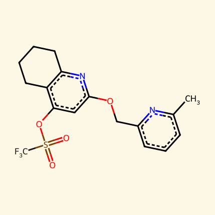 Cc1cccc(COc2cc(OS(=O)(=O)C(F)(F)F)c3c(n2)CCCC3)n1